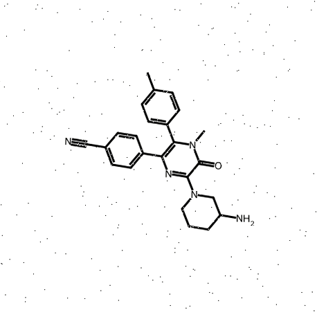 Cc1ccc(-c2c(-c3ccc(C#N)cc3)nc(N3CCCC(N)C3)c(=O)n2C)cc1